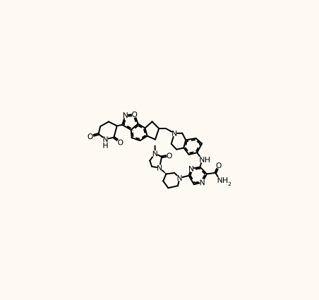 CN1CCN([C@@H]2CCCN(c3cnc(C(N)=O)c(Nc4ccc5c(c4)CCN(CC4Cc6ccc7c(C8CCC(=O)NC8=O)noc7c6C4)C5)n3)C2)C1=O